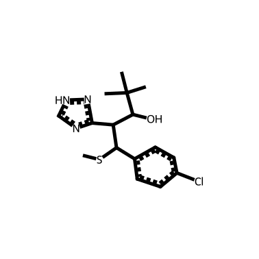 CSC(c1ccc(Cl)cc1)C(c1nc[nH]n1)C(O)C(C)(C)C